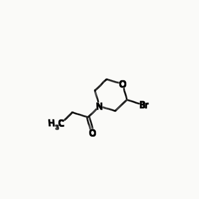 CCC(=O)N1CCOC(Br)C1